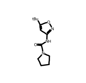 CC(C)(C)c1cc(NC(=O)N2CCCC2)no1